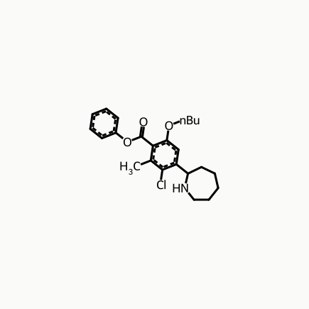 CCCCOc1cc(C2CCCCCN2)c(Cl)c(C)c1C(=O)Oc1ccccc1